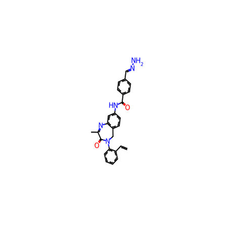 C=Cc1ccccc1N1Cc2ccc(NC(=O)c3ccc(C=NN)cc3)cc2N=C(C)C1=O